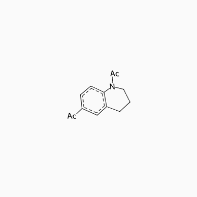 CC(=O)c1ccc2c(c1)CCCN2C(C)=O